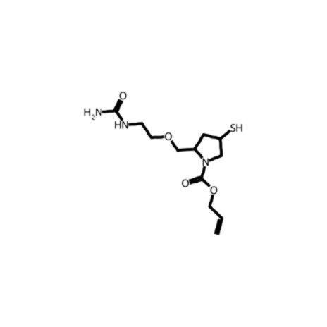 C=CCOC(=O)N1CC(S)CC1COCCNC(N)=O